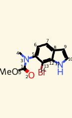 COC(=O)N(C)c1ccc2cc[nH]c2c1Br